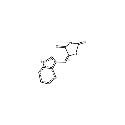 O=C1NC(=O)/C(=C\c2c[nH]c3ccccc23)O1